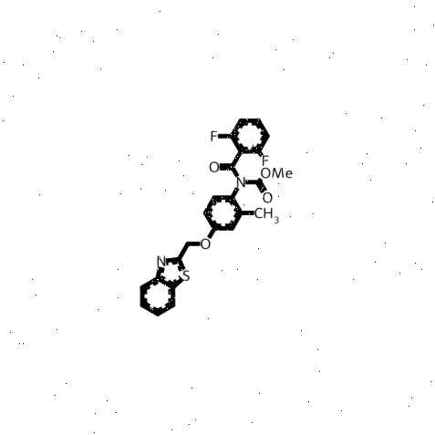 COC(=O)N(C(=O)c1c(F)cccc1F)c1ccc(OCc2nc3ccccc3s2)cc1C